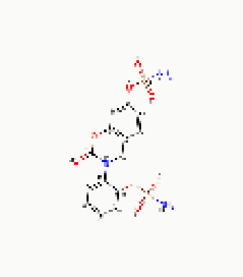 NS(=O)(=O)Oc1ccc2c(c1)OC(=O)N(c1ccccc1OS(N)(=O)=O)C2